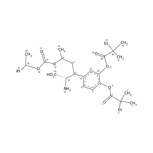 CCC(C)(C)C(=O)Oc1ccc(C(CC(C)OC(=O)OC(C)C(C)C)[C@H](N)C(=O)O)cc1OC(=O)C(C)(C)CC